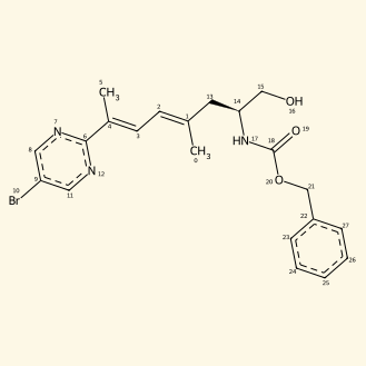 C/C(=C\C=C(/C)c1ncc(Br)cn1)C[C@@H](CO)NC(=O)OCc1ccccc1